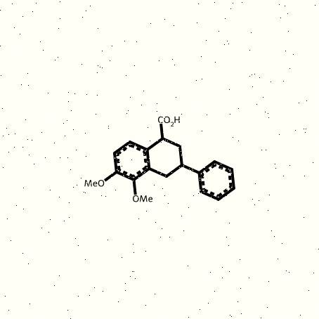 COc1ccc2c(c1OC)CC(c1ccccc1)CC2C(=O)O